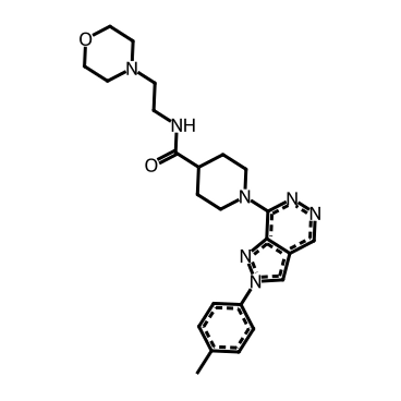 Cc1ccc(-n2cc3cnnc(N4CCC(C(=O)NCCN5CCOCC5)CC4)c3n2)cc1